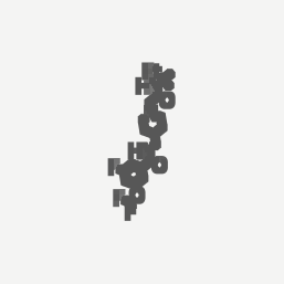 CCC(C)(C)NC(=O)CN1CCC(CNC(=O)c2cc(F)cc(OC(F)F)c2)CC1